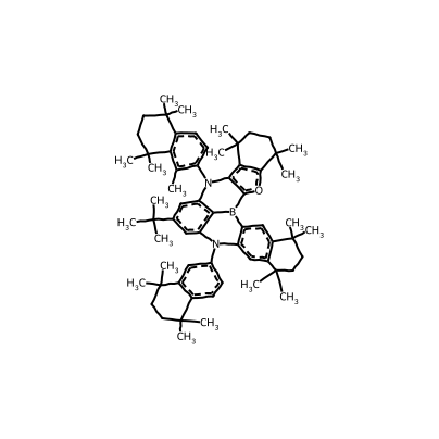 Cc1c(N2c3cc(C(C)(C)C)cc4c3B(c3cc5c(cc3N4c3ccc4c(c3)C(C)(C)CCC4(C)C)C(C)(C)CCC5(C)C)c3oc4c(c32)C(C)(C)CCC4(C)C)ccc2c1C(C)(C)CCC2(C)C